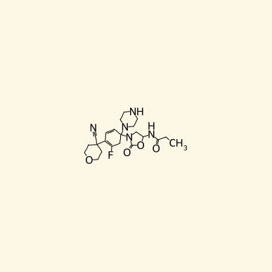 CCC(=O)NC1CN(C2(N3CCNCC3)C=CC(C3(C#N)CCOCC3)=C(F)C2)C(=O)O1